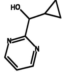 OC(c1ncccn1)C1CC1